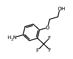 Nc1ccc(OCCO)c(C(F)(F)F)c1